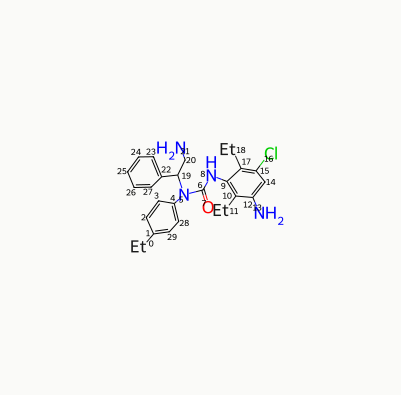 CCc1ccc(N(C(=O)Nc2c(CC)c(N)cc(Cl)c2CC)C(CN)c2ccccc2)cc1